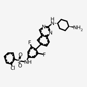 N[C@H]1CC[C@H](Nc2ncc3cc(-c4c(F)cc(NS(=O)(=O)c5ccccc5Cl)cc4F)ccc3n2)CC1